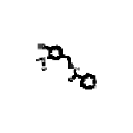 O=C(N/N=C/c1ccc(O)c([N+](=O)[O-])c1)c1ccncc1